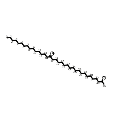 CCCCCCCCCCCCCCCC(=O)CCCCCCCCCCCCCCCCCC(C)=O